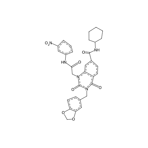 O=C(Cn1c(=O)n(Cc2ccc3c(c2)OCO3)c(=O)c2ccc(C(=O)NC3CCCCC3)cc21)Nc1cccc([N+](=O)[O-])c1